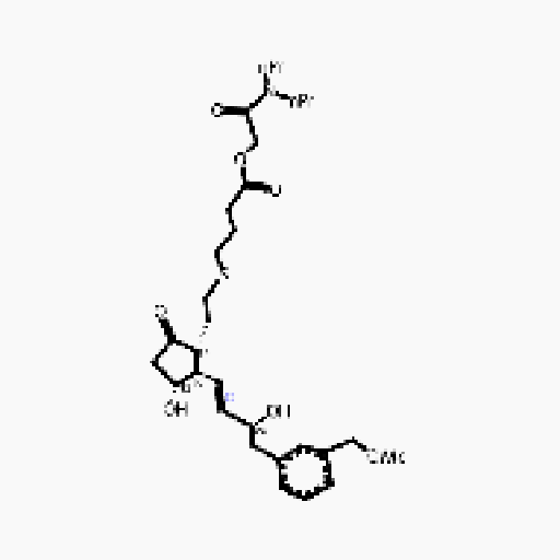 CCCN(CCC)C(=O)COC(=O)CCCSCC[C@H]1C(=O)C[C@@H](O)[C@@H]1/C=C/[C@@H](O)Cc1cccc(COC)c1